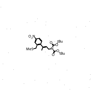 CSCc1cc([N+](=O)[O-])ccc1/C(C)=C/CN(C(=O)OC(C)(C)C)C(=O)OC(C)(C)C